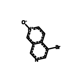 [O-][n+]1ccc2c(Br)cncc2c1